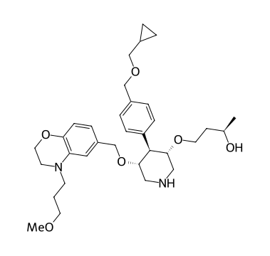 COCCCN1CCOc2ccc(CO[C@H]3CNC[C@@H](OCC[C@@H](C)O)[C@@H]3c3ccc(COCC4CC4)cc3)cc21